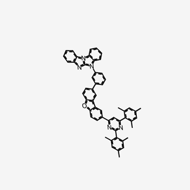 Cc1cc(C)c(-c2cc(-c3ccc4oc5ccc(-c6cccc(-n7c8ccccc8n8c9ccccc9nc78)c6)cc5c4c3)nc(-c3c(C)cc(C)cc3C)n2)c(C)c1